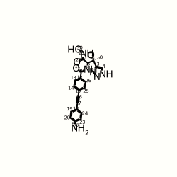 C[C@](O)(c1c[nH]nn1)C(NC(=O)c1ccc(C#Cc2ccc(N)cc2)cc1)C(=O)NO